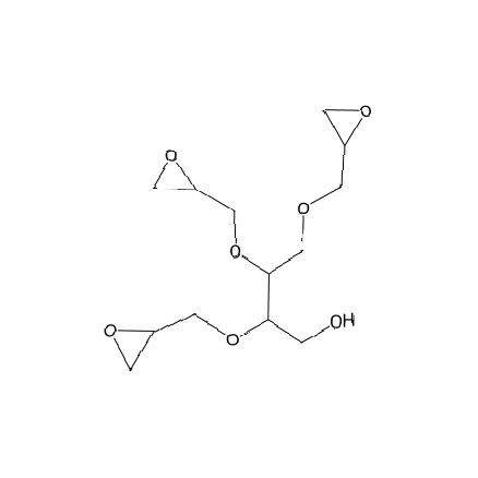 OCC(OCC1CO1)C(COCC1CO1)OCC1CO1